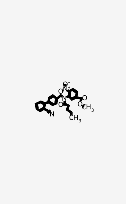 CCCCC(=O)N(Cc1ccc(-c2ccccc2C#N)cc1)c1cc(C(=O)OC)ccc1[N+](=O)[O-]